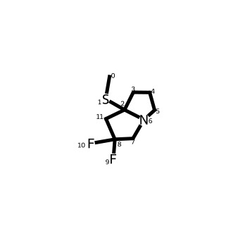 CSC12CCCN1CC(F)(F)C2